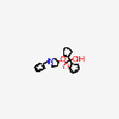 O=C(OC1CCN(Cc2ccccc2)C1)C(O)(c1ccccc1)C1CCCCC1